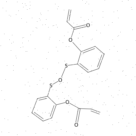 C=CC(=O)Oc1ccccc1SOSc1ccccc1OC(=O)C=C